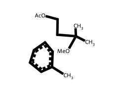 COC(C)(C)CCOC(C)=O.Cc1ccccc1